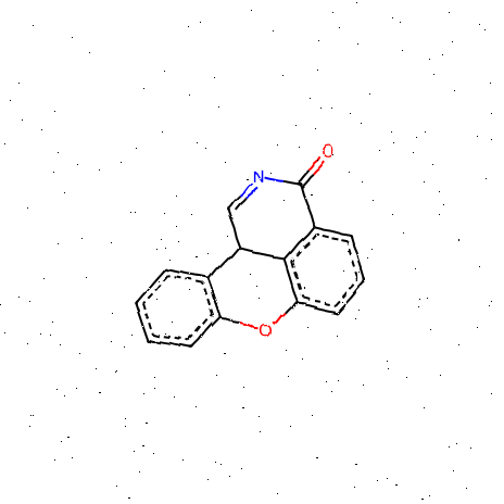 O=C1N=CC2c3ccccc3Oc3cccc1c32